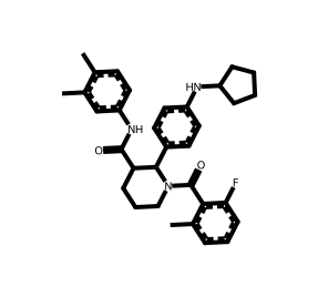 Cc1ccc(NC(=O)C2CCCN(C(=O)c3c(C)cccc3F)C2c2ccc(NC3CCCC3)cc2)cc1C